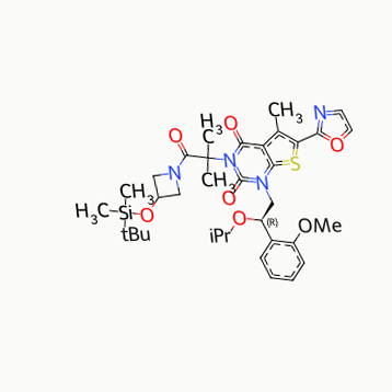 COc1ccccc1[C@H](Cn1c(=O)n(C(C)(C)C(=O)N2CC(O[Si](C)(C)C(C)(C)C)C2)c(=O)c2c(C)c(-c3ncco3)sc21)OC(C)C